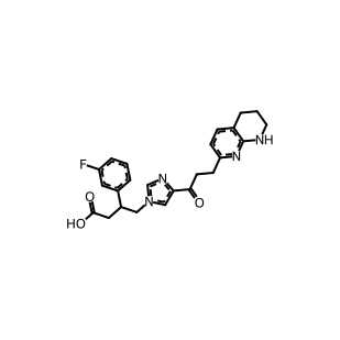 O=C(O)CC(Cn1cnc(C(=O)CCc2ccc3c(n2)NCCC3)c1)c1cccc(F)c1